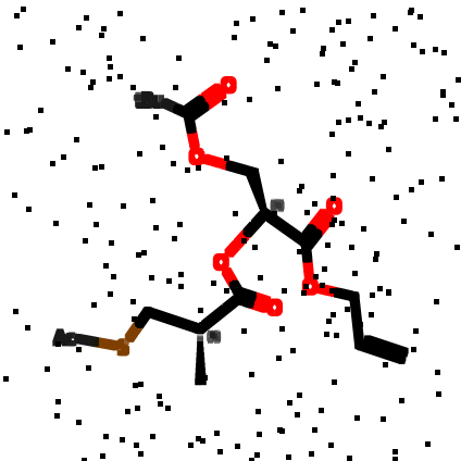 C=CCOC(=O)[C@H](COC(=O)C(C)(C)C)OC(=O)[C@H](C)CSC(C)=O